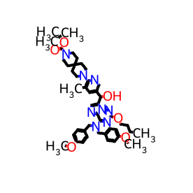 CCCCOc1nc(N(Cc2ccc(OC)cc2)Cc2ccc(OC)cc2)c2ncc(C(O)c3cnc(N4CCC5(CCN(C(=O)OC(C)(C)C)CC5)CC4)c(C)c3)n2n1